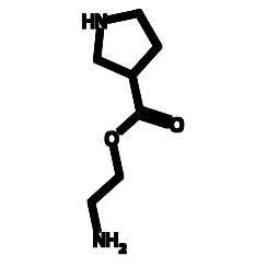 NCCOC(=O)C1CCNC1